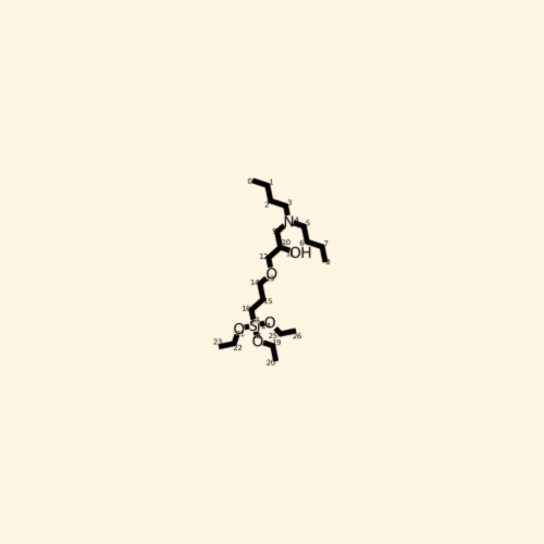 CCCCN(CCCC)CC(O)COCCC[Si](OCC)(OCC)OCC